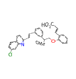 COC(COc1ccccc1/C=C/C(=O)O)c1cccc(/C=C/c2ccc3ccc(Cl)cc3n2)c1